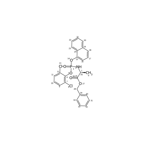 C[C@H](NP(=O)(Oc1c(Cl)cccc1Cl)Oc1cccc2ccccc12)C(=O)OCc1ccccc1